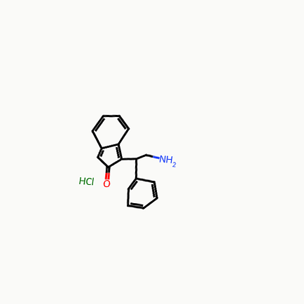 Cl.NCC(C1=c2ccccc2=CC1=O)c1ccccc1